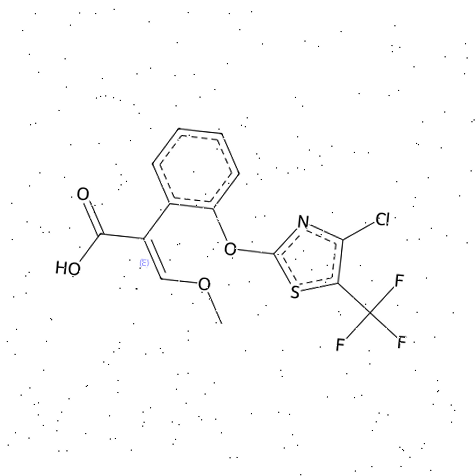 CO/C=C(/C(=O)O)c1ccccc1Oc1nc(Cl)c(C(F)(F)F)s1